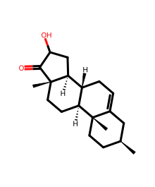 C[C@H]1CC[C@@]2(C)C(=CC[C@@H]3[C@@H]2CC[C@]2(C)C(=O)C(O)C[C@@H]32)C1